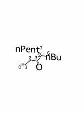 C=CCC(=O)C(CCCC)CCCCC